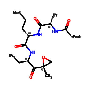 CCCCCC(=O)N[C@H](C(=O)N[C@@H](CCSC)C(=O)N[C@@H](CC(C)C)C(=O)[C@@]1(C)CO1)C(C)C